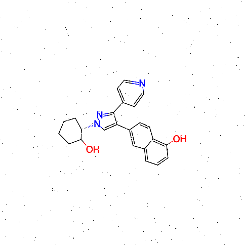 Oc1cccc2cc(-c3cn([C@H]4CCCCC4O)nc3-c3ccncc3)ccc12